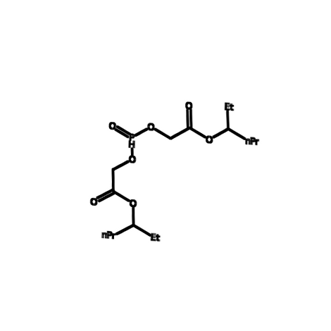 CCCC(CC)OC(=O)CO[PH](=O)OCC(=O)OC(CC)CCC